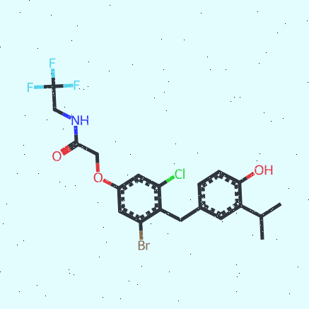 CC(C)c1cc(Cc2c(Cl)cc(OCC(=O)NCC(F)(F)F)cc2Br)ccc1O